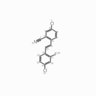 N#Cc1cc(Cl)ccc1C=Cc1ccc(Cl)cc1F